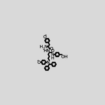 COc1ccc(CC(N)C(=O)NC(CCCCN(c2ccc(OC)cc2)C(c2ccccc2)c2ccccc2)C(=O)Nc2ccc(CO)cc2)cc1